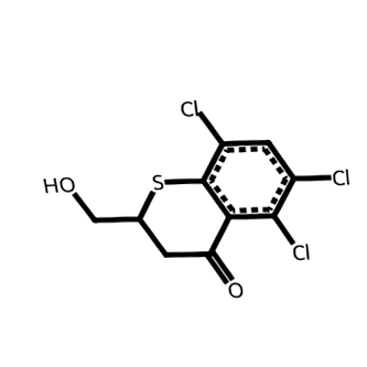 O=C1CC(CO)Sc2c(Cl)cc(Cl)c(Cl)c21